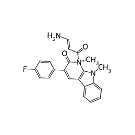 Cn1c2c(c3ccccc31)C=C(c1ccc(F)cc1)C(=O)[N+]2(C)C(=O)C=CN